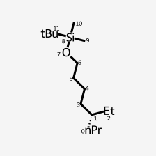 CCC[C@@H](CC)CCCCO[Si](C)(C)C(C)(C)C